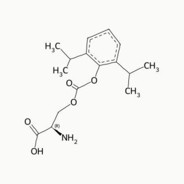 CC(C)c1cccc(C(C)C)c1OC(=O)OC[C@@H](N)C(=O)O